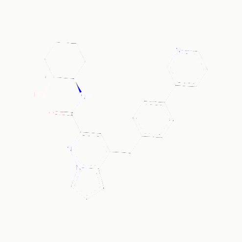 O=C(N[C@@H]1CCCC[C@H]1O)c1cc(Cc2ccc(-c3cccnc3)cc2)c2cccn2n1